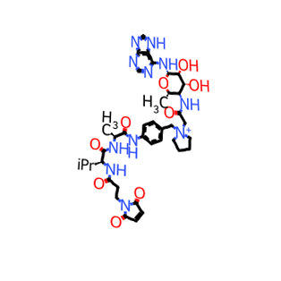 CC(C)[C@H](NC(=O)CCN1C(=O)C=CC1=O)C(=O)N[C@@H](C)C(=O)Nc1ccc(C[N+]2(CC(=O)N[C@@H]3[C@@H](O)[C@H](O)[C@@H](Nc4ncnc5nc[nH]c45)O[C@H]3C)CCCC2)cc1